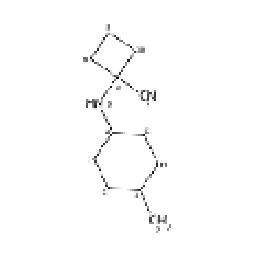 CC1CCC(NC2(C#N)CCC2)CC1